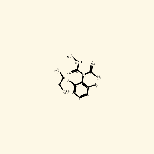 CCc1cccc(CC)c1N(C(=N)N)C(=O)NOC.O=C(O)CCC(=O)O